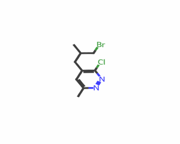 Cc1cc(CC(C)CBr)c(Cl)nn1